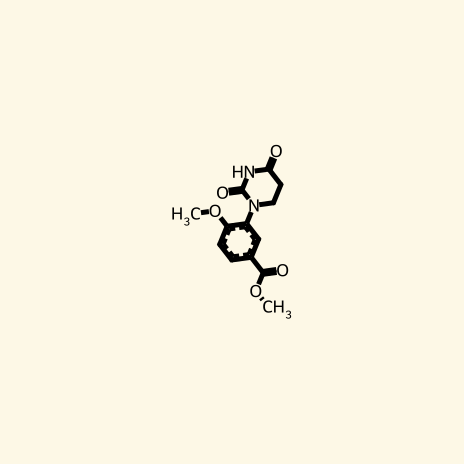 COC(=O)c1ccc(OC)c(N2CCC(=O)NC2=O)c1